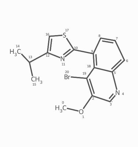 COc1[c]nc2cccc(-c3nc(C(C)C)cs3)c2c1Br